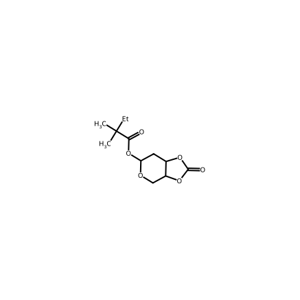 CCC(C)(C)C(=O)OC1CC2OC(=O)OC2CO1